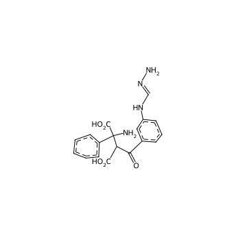 NN=CNc1cccc(C(=O)C(C(=O)O)C(N)(C(=O)O)c2ccccc2)c1